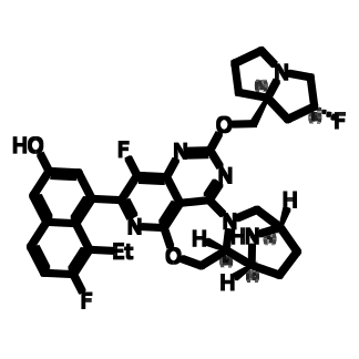 CCc1c(F)ccc2cc(O)cc(-c3nc4c5c(nc(OC[C@@]67CCCN6C[C@H](F)C7)nc5c3F)N3C[C@@H]5CC[C@@H](N5)[C@@H]3CO4)c12